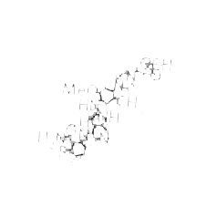 COc1cc(N2CCN(CCS(C)(=O)=O)CC2)c(C)cc1Nc1cc2c(Nc3cccc(F)c3C(N)=O)cncc2[nH]1